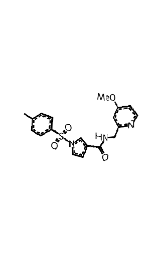 COc1ccnc(CNC(=O)c2ccn(S(=O)(=O)c3ccc(C)cc3)c2)c1